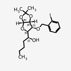 CCCC[C@H](O)[C@H]1O[C@@H]2OC(C)(C)O[C@@H]2[C@H]1OCc1ccccc1I